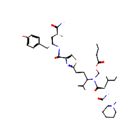 CCCC(=O)OCN(C(=O)[C@@H](NC(=O)[C@H]1CCCCN1C)C(C)CC)C(CCc1nc(C(=O)N[C@@H](Cc2ccc(O)cc2)C[C@H](C)C(N)=O)cs1)C(C)C